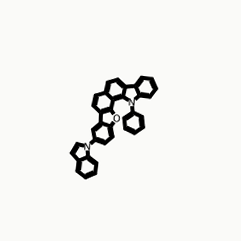 c1ccc(-n2c3ccccc3c3ccc4ccc5c6cc(-n7ccc8ccccc87)ccc6oc5c4c32)cc1